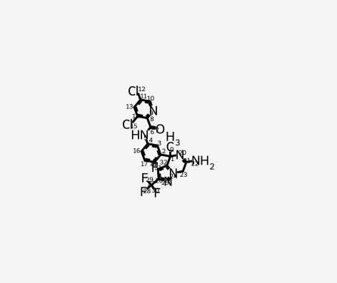 CC1(c2cc(NC(=O)c3ncc(Cl)cc3Cl)ccc2F)N=C(N)Cn2nc(C(F)(F)F)cc21